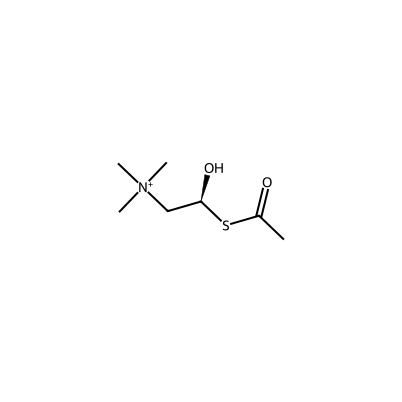 CC(=O)S[C@H](O)C[N+](C)(C)C